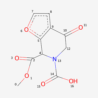 COC(=O)C1c2occc2C(=O)CN1C(=O)O